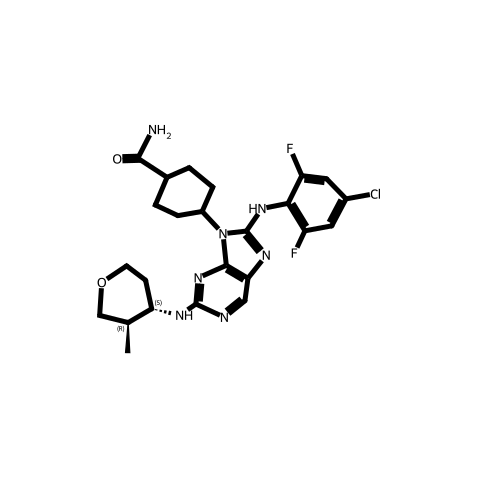 C[C@H]1COCC[C@@H]1Nc1ncc2nc(Nc3c(F)cc(Cl)cc3F)n(C3CCC(C(N)=O)CC3)c2n1